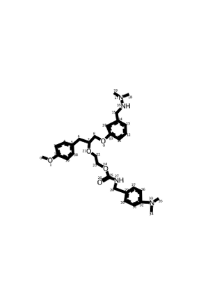 COc1ccc(CC(COc2cccc(CNN(C)C)c2)OCCOC(=O)NCc2ccc(N(C)C)cc2)cc1